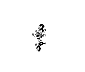 CC[C@@H](CN1CC(C)(C)OC[C@H]1C(=O)Nc1cc(I)cc2c1[nH]c1cnccc12)NC(=O)c1cccnc1C